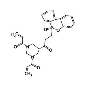 C=CC(=O)N1CC(C(=O)CCP2(=O)Oc3ccccc3-c3ccccc32)CN(C(=O)C=C)C1